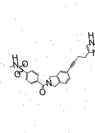 CNS(=O)(=O)c1ccc(C(=O)N2Cc3ccc(C#CCCc4c[nH]cn4)cc3C2)cc1